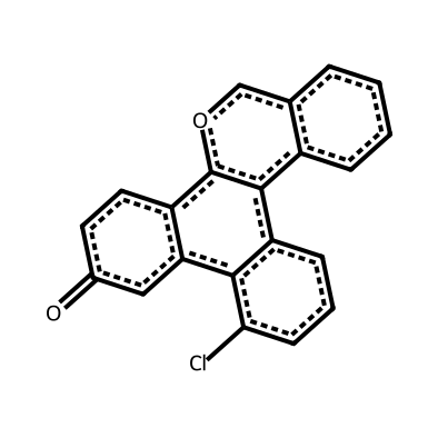 O=c1ccc2c(c1)c1c(Cl)cccc1c1c3ccccc3coc21